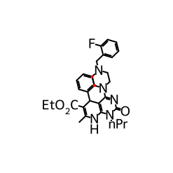 CCCn1c2c(c(N3CCN(Cc4ccccc4F)CC3)nc1=O)C(c1ccccc1)C(C(=O)OCC)=C(C)N2